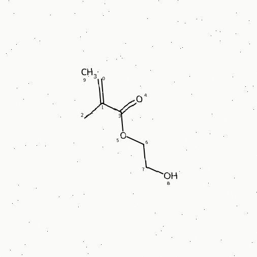 C=C(C)C(=O)OCCO.[CH3]